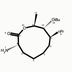 CCC[C@H]1CCCC[C@H](N)C(=O)O[C@@H](C)[C@@H]1OCC(C)C